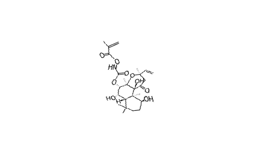 C=C[C@@]1(C)CC(=O)[C@]2(O)[C@@]3(C)[C@@H](O)CCC(C)(C)[C@@H]3[C@H](O)[C@H](OC(=O)NOC(=O)C(=C)C)[C@@]2(C)O1